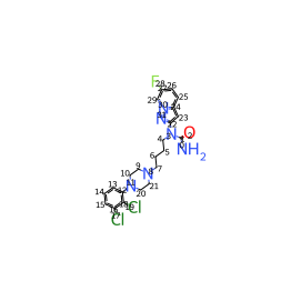 NC(=O)N(CCCCN1CCN(c2cccc(Cl)c2Cl)CC1)c1cc2ccc(F)cn2n1